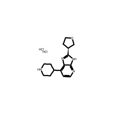 Cl.Cl.c1cc(C2CCNCC2)c2nc([C@H]3CCOC3)[nH]c2n1